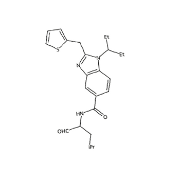 CCC(CC)n1c(Cc2cccs2)nc2cc(C(=O)NC(C=O)CC(C)C)ccc21